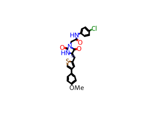 COc1ccc(-c2csc(/C=C3\NC(=O)N(CC(=O)Nc4ccc(Cl)cc4)C3=O)c2)cc1